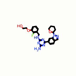 Nc1nc(NCc2cccc(OCCO)c2F)nc(-c2ccc3cnn(C4CCCCO4)c3c2)n1